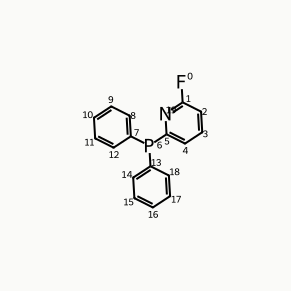 Fc1cccc(P(c2ccccc2)c2ccccc2)n1